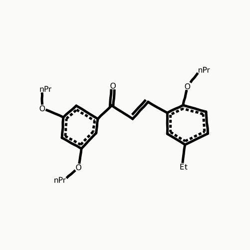 CCCOc1cc(OCCC)cc(C(=O)C=Cc2cc(CC)ccc2OCCC)c1